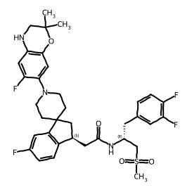 CC1(C)CNc2cc(F)c(N3CCC4(CC3)C[C@@H](CC(=O)N[C@H](Cc3ccc(F)c(F)c3)CS(C)(=O)=O)c3ccc(F)cc34)cc2O1